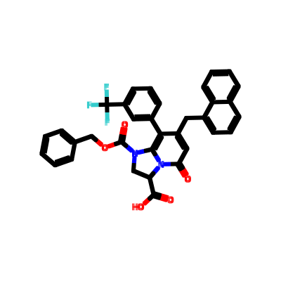 O=C(O)C1CN(C(=O)OCc2ccccc2)c2c(-c3cccc(C(F)(F)F)c3)c(Cc3cccc4ccccc34)cc(=O)n21